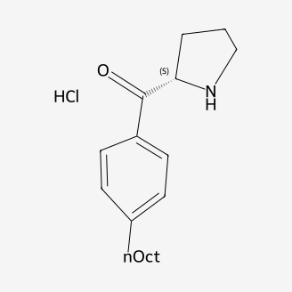 CCCCCCCCc1ccc(C(=O)[C@@H]2CCCN2)cc1.Cl